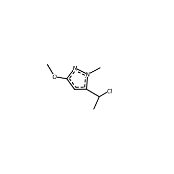 COc1cc(C(C)Cl)n(C)n1